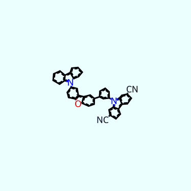 N#Cc1ccc2c3ccc(C#N)cc3n(-c3cccc(-c4ccc5oc6ccc(-n7c8ccccc8c8ccccc87)cc6c5c4)c3)c2c1